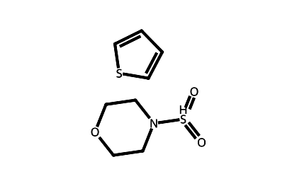 O=[SH](=O)N1CCOCC1.c1ccsc1